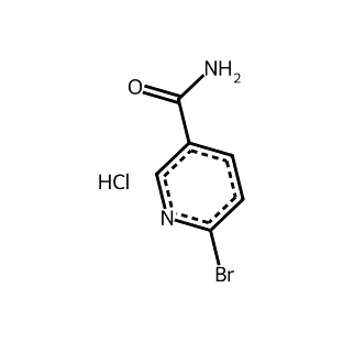 Cl.NC(=O)c1ccc(Br)nc1